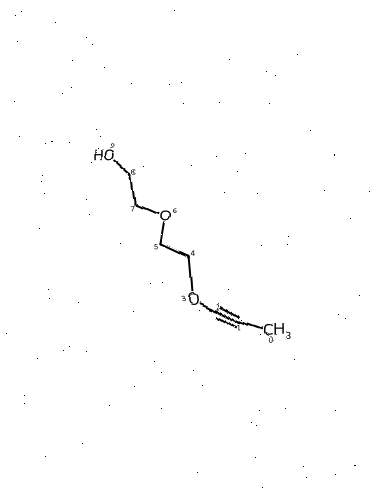 CC#COCCOCCO